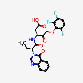 CC[C@@H](C(=O)N[C@@H](CC(=O)O)C(=O)COc1c(F)ccc(F)c1F)n1cnc2ccccc2c1=O